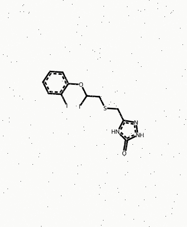 O=c1[nH]nc(CSCC(I)Oc2ccccc2I)[nH]1